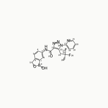 O=C(Nc1ccc2c(c1)B(O)OC2)c1nnn(-c2ccccn2)c1CC(F)(F)F